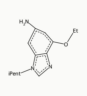 CCCC(C)n1cnc2c(OCC)cc(N)cc21